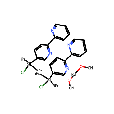 CC(C)[Si](Cl)(c1ccc(-c2ccccn2)nc1)C(C)C.CC(C)[Si](Cl)(c1ccc(-c2ccccn2)nc1)C(C)C.N#C[O][Ru][O]C#N